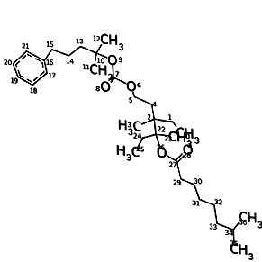 CCC(C)(CCOC(=O)OC(C)(C)CCCc1ccccc1)C(C)(CC)OC(=O)CCCCCC(C)C